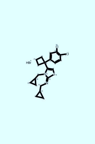 Br.Clc1ccc(C2(c3csc(=NCC4CC4)n3CC3CC3)CCC2)cc1Cl